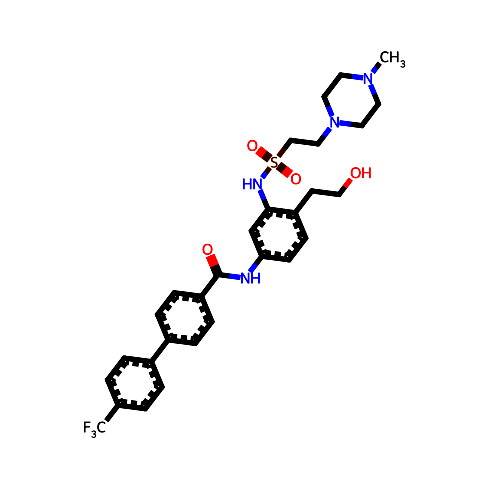 CN1CCN(CCS(=O)(=O)Nc2cc(NC(=O)c3ccc(-c4ccc(C(F)(F)F)cc4)cc3)ccc2CCO)CC1